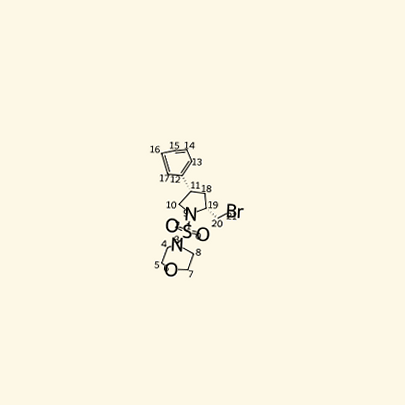 O=S(=O)(N1CCOCC1)N1C[C@H](c2ccccc2)C[C@@H]1CBr